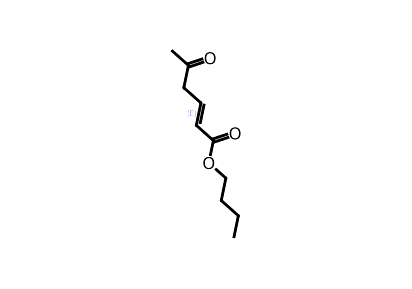 CCCCOC(=O)/C=C/CC(C)=O